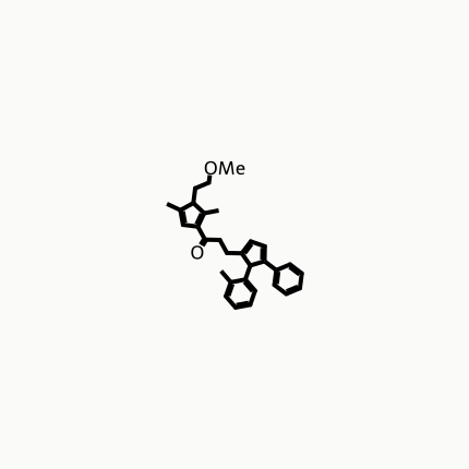 COCCC1C(C)=CC(C(=O)CCC2=CC=C(c3ccccc3)C2c2ccccc2C)=C1C